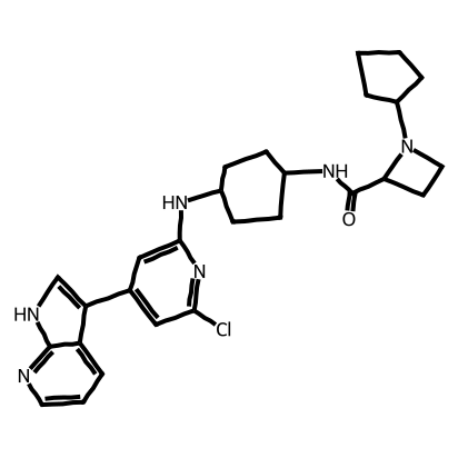 O=C(NC1CCC(Nc2cc(-c3c[nH]c4ncccc34)cc(Cl)n2)CC1)C1CCN1C1CCCC1